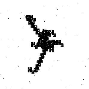 CCCCCCCCCCCCCCN(CC(O)CN)C(C(O)C(C)O)N(CCCCCCCCCCCCCC)CC(O)CN